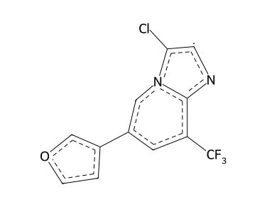 FC(F)(F)c1cc(-c2ccoc2)cn2c(Cl)[c]nc12